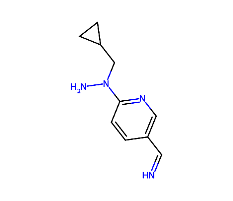 N=Cc1ccc(N(N)CC2CC2)nc1